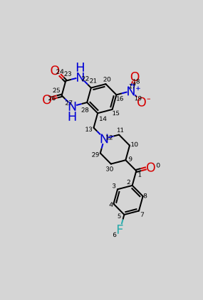 O=C(c1ccc(F)cc1)C1CCN(Cc2cc([N+](=O)[O-])cc3[nH]c(=O)c(=O)[nH]c23)CC1